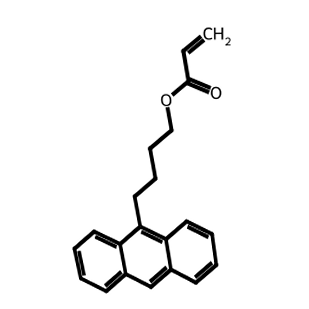 C=CC(=O)OCCCCc1c2ccccc2cc2ccccc12